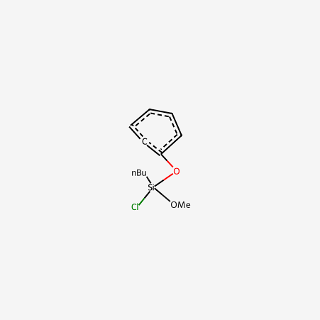 CCCC[Si](Cl)(OC)Oc1ccccc1